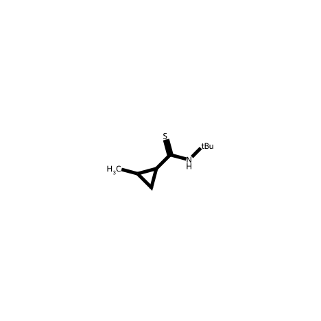 CC1CC1C(=S)NC(C)(C)C